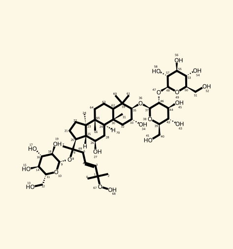 CC(C)(/C=C/CC(C)(O[C@@H]1O[C@H](CO)[C@@H](O)[C@H](O)[C@H]1O)[C@H]1CC[C@]2(C)[C@@H]1[C@H](O)C[C@@H]1[C@@]3(C)C[C@@H](O)[C@H](O[C@@H]4O[C@H](CO)[C@@H](O)[C@H](O)[C@H]4O[C@@H]4O[C@H](CO)[C@@H](O)[C@H](O)[C@H]4O)C(C)(C)C3CC[C@]12C)OO